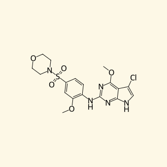 COc1cc(S(=O)(=O)N2CCOCC2)ccc1Nc1nc(OC)c2c(Cl)c[nH]c2n1